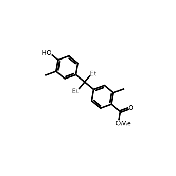 CCC(CC)(c1ccc(O)c(C)c1)c1ccc(C(=O)OC)c(C)c1